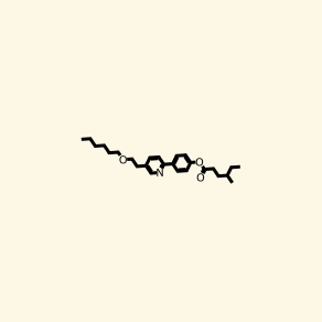 CCCCCCOCCc1ccc(-c2ccc(OC(=O)CCC(C)CC)cc2)nc1